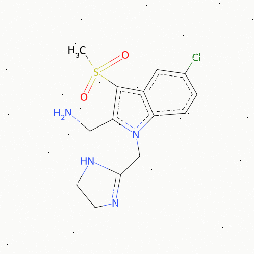 CS(=O)(=O)c1c(CN)n(CC2=NCCN2)c2ccc(Cl)cc12